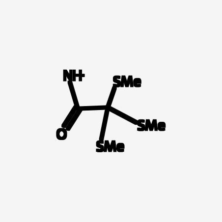 CSC(SC)(SC)C([NH])=O